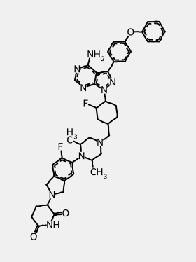 CC1CN(CC2CCC(n3nc(-c4ccc(Oc5ccccc5)cc4)c4c(N)ncnc43)C(F)C2)CC(C)N1c1cc2c(cc1F)CN(C1CCC(=O)NC1=O)C2